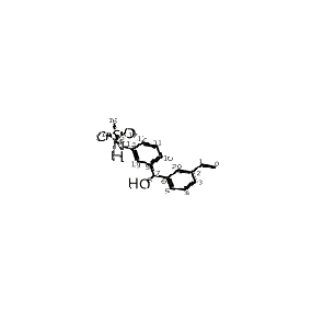 C=Cc1cccc(C(O)c2cccc(NS(C)(=O)=O)c2)c1